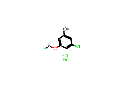 CC(C)(C)c1cc(Cl)cc([O][Ti][F])c1.Cl.Cl